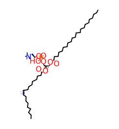 CCCCCCCC/C=C\CCCCCCCC(=O)O[C@H](COC(=O)CCCCCCCCCCCCCCCCCCCCC)COP(=O)(O)OCC[N+](C)(C)C